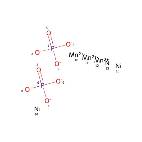 O=P([O-])([O-])[O-].O=P([O-])([O-])[O-].[Mn+2].[Mn+2].[Mn+2].[Ni].[Ni].[Ni]